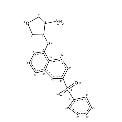 NC1COCC1Oc1cccc2cc(S(=O)(=O)c3ccccc3)cnc12